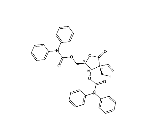 C=C[C@@]1(CI)C(=O)O[C@H](COC(=O)N(c2ccccc2)c2ccccc2)[C@H]1OC(=O)N(c1ccccc1)c1ccccc1